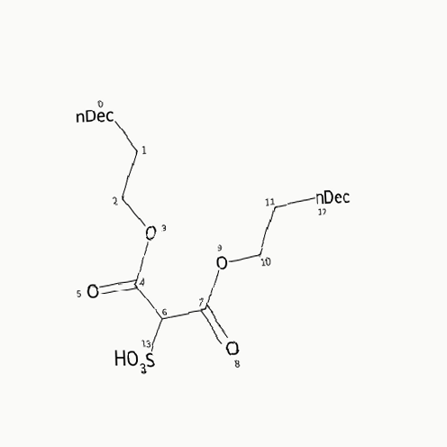 CCCCCCCCCCCCOC(=O)C(C(=O)OCCCCCCCCCCCC)S(=O)(=O)O